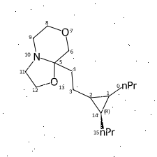 CCCC1C(CCC23COCCN2CCO3)[C@@H]1CCC